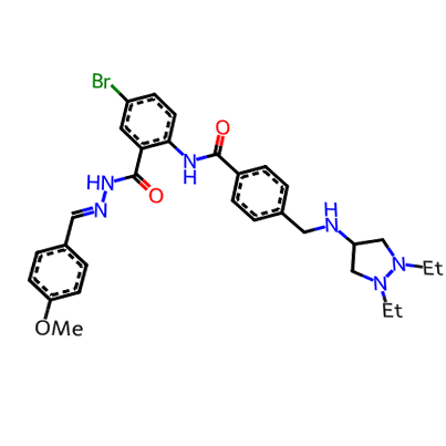 CCN1CC(NCc2ccc(C(=O)Nc3ccc(Br)cc3C(=O)NN=Cc3ccc(OC)cc3)cc2)CN1CC